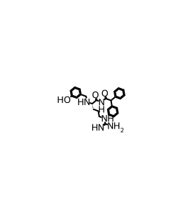 N=C(N)NCCC[C@H](NCc1cccc(O)c1)C(=O)NC(=O)C(c1ccccc1)c1ccccc1